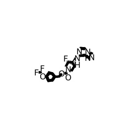 O=C(OCc1ccc(OC(F)F)cc1)N1CC[C@H](CNc2nccn3cnnc23)[C@H](F)C1